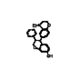 CCN1CCOc2ccc(C3c4ccc(O)cc4OCC3c3ccccc3)cc21